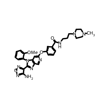 COc1ccccc1-n1c(-c2nonc2N)nc2cnc(Oc3cccc(C(=O)NCCCN4CCN(C)CC4)c3)cc21